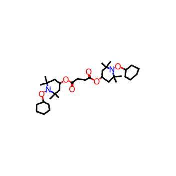 CC1(C)CC(OC(=O)CCC(=O)OC2CC(C)(C)N(OC3CCCCC3)C(C)(C)C2)CC(C)(C)N1OC1CCCCC1